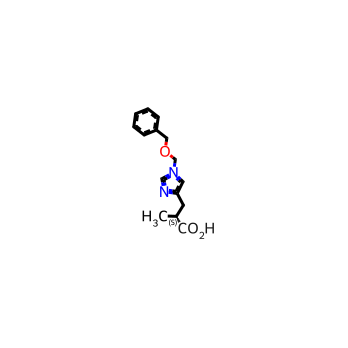 C[C@@H](Cc1cn(COCc2ccccc2)cn1)C(=O)O